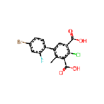 Cc1c(-c2ccc(Br)cc2F)cc(C(=O)O)c(Cl)c1C(=O)O